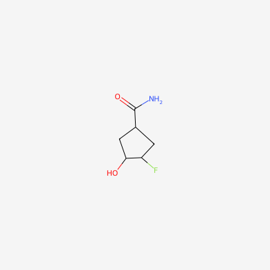 NC(=O)C1CC(O)C(F)C1